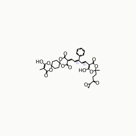 CC1=C(O)OC2(CCC3(CC2)OC(=O)C(=C/C=C(/C=C/C2=C(O)OC(C)(CCC(=O)C4CO4)OC2=O)c2ccccc2)C(=O)O3)OC1=O